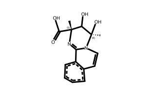 C[C@]1(C(=O)O)N=C2c3ccccc3C=CN2[C@](C)(O)C1O